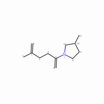 C=C(C)CCC(=C)N1CCC(C)C1